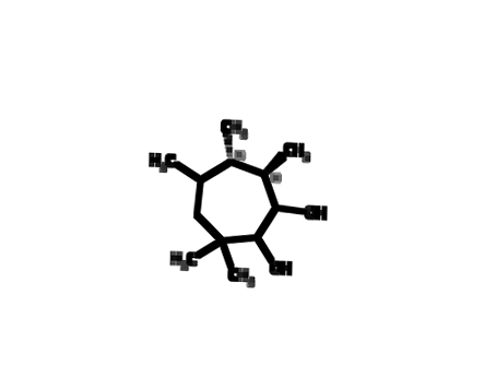 CC1CC(C)(C)C(O)C(O)[C@H](C)[C@H]1C